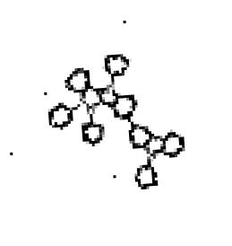 c1ccc(N2c3c(n(-c4ccccc4)c4ccc(-c5ccc6c(c5)c5ccccc5n6-c5ccccc5)cc34)-c3ccccc3P2c2ccccc2)cc1